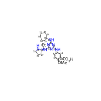 CCC(Nc1nc(Nc2ccc(OC)c(C(=O)O)c2)nc(NC2CCCCCC2)n1)C1CCCN1